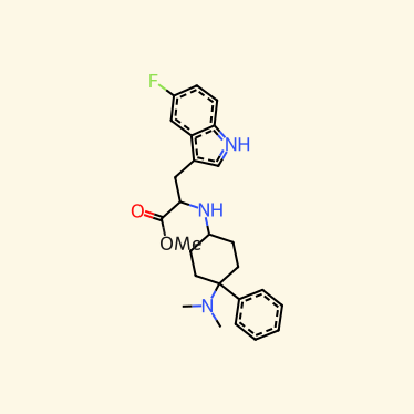 COC(=O)C(Cc1c[nH]c2ccc(F)cc12)NC1CCC(c2ccccc2)(N(C)C)CC1